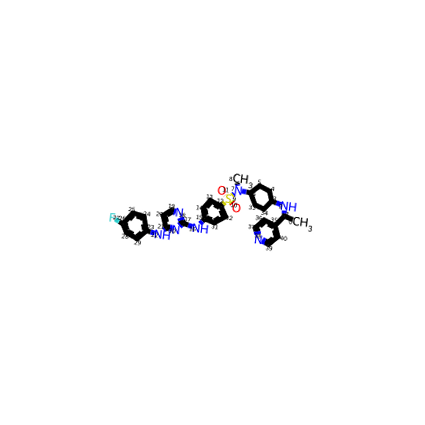 CC(NC1CCC(N(C)S(=O)(=O)c2ccc(Nc3nccc(Nc4ccc(F)cc4)n3)cc2)CC1)c1ccncc1